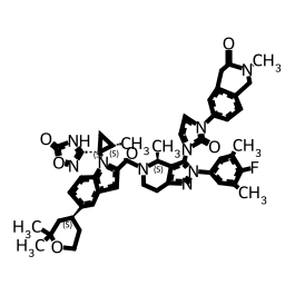 Cc1cc(-n2nc3c(c2-n2ccn(-c4ccc5c(c4)CC(=O)N(C)C5)c2=O)[C@H](C)N(C(=O)c2cc4cc([C@H]5CCOC(C)(C)C5)ccc4n2[C@@]2(c4noc(=O)[nH]4)C[C@@H]2C)CC3)cc(C)c1F